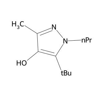 CCCn1nc(C)c(O)c1C(C)(C)C